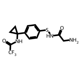 NCC(=O)NSc1ccc(C2(NC(=O)C(F)(F)F)CC2)cc1